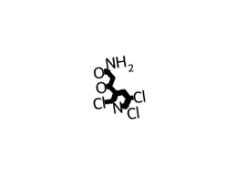 NC(=O)CC(=O)c1cc(Cl)c(Cl)nc1Cl